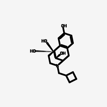 Oc1ccc2c(c1)[C@]13CCN(CC4CCC4)C(C2)[C@]1(O)CC[C@H](O)[C@@H]3O